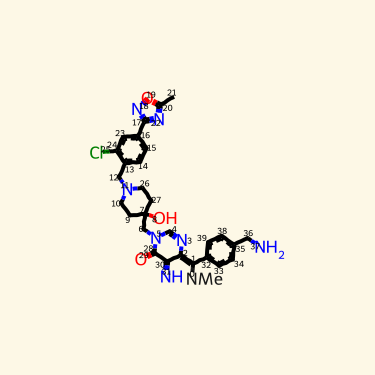 CN/C(=C1/N=CN(CC2(O)CCN(Cc3ccc(-c4noc(C)n4)cc3Cl)CC2)C(=O)C1=N)c1ccc(CN)cc1